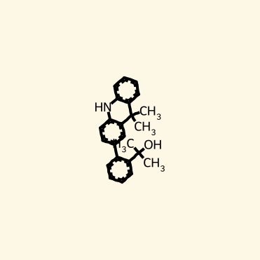 CC(C)(O)c1ccccc1-c1ccc2c(c1)C(C)(C)c1ccccc1N2